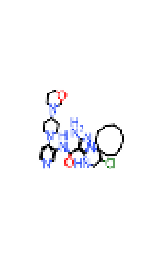 Nc1nn2c(c1C(=O)Nc1cnccc1N1CCC(N3CCCOC3)CC1)NCC(Cl)C21CCCCCCCCC1